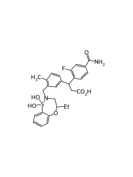 CCC1CN(Cc2cc(C(CC(=O)O)c3ccc(C(N)=O)cc3F)ccc2C)S(O)(O)c2ccccc2O1